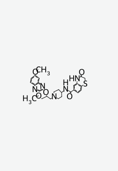 COCC(CN1CCC(NC(=O)c2ccc3c(c2)NC(=O)CS3)CC1)Oc1cnc2ccc(OC)cc2n1